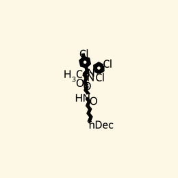 CCCCCCCCCCCCCCCC(=O)NCCOC(=O)c1nn(-c2ccc(Cl)cc2Cl)c(-c2ccc(Cl)cc2)c1C